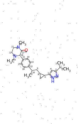 CC(C)c1cc(C2CC2CC(C)c2ccc(C3C(=O)N(C)CCN3C)cc2)[nH]n1